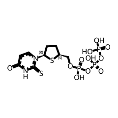 O=c1ccn([C@H]2CC[C@@H](COP(=O)(O)OP(=O)(O)OP(=O)(O)O)S2)c(=S)[nH]1